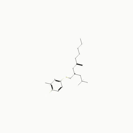 C=C(CCCCC)CC(CSc1ccc(F)c(C)c1)CC(C)C